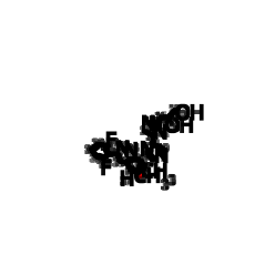 CC1(C)[C@H]2CC[C@]1(c1cncc(-c3cnn(C[C@H](O)CO)n3)n1)c1nnc(-c3c(F)cccc3F)cc12